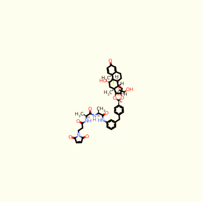 C[C@H](NC(=O)CCN1C(=O)C=CC1=O)C(=O)N[C@@H](C)C(=O)Nc1cccc(Cc2ccc([C@@H]3O[C@@H]4C[C@H]5[C@@H]6CCC7=CC(=O)C=C[C@]7(C)[C@@]6(F)[C@@H](O)C[C@]5(C)[C@]4(C(=O)CO)O3)cc2)c1